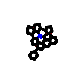 c1ccc(-c2ccc(-c3ccccc3N(c3ccccc3-c3ccccc3)c3ccccc3-c3cccc(-c4cccc5ccccc45)c3)cc2)cc1